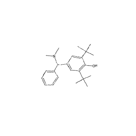 CN(C)C(c1ccccc1)c1cc(C(C)(C)C)c(O)c(C(C)(C)C)c1